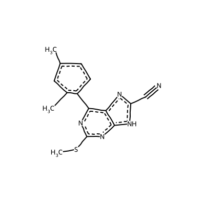 CSc1nc(-c2ccc(C)cc2C)c2nc(C#N)[nH]c2n1